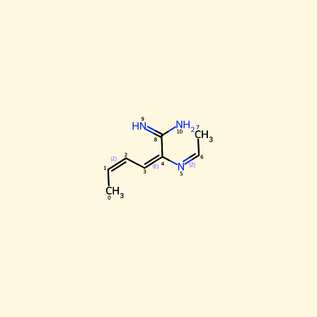 C\C=C/C=C(/N=C\C)C(=N)N